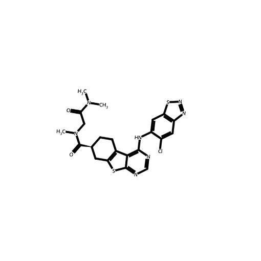 CN(C)C(=O)CN(C)C(=O)[C@H]1CCc2c(sc3ncnc(Nc4cc5snnc5cc4Cl)c23)C1